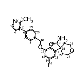 Cc1nccn1-c1ccc(COc2cc(F)cc(C3(C(N)=O)CCOCC3)c2)cc1